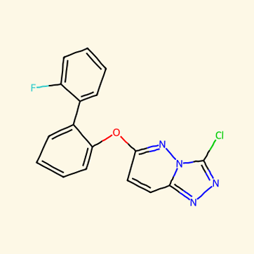 Fc1ccccc1-c1ccccc1Oc1ccc2nnc(Cl)n2n1